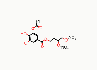 CC(C)C(=O)Oc1cc(C(=O)OCCC(CO[N+](=O)[O-])O[N+](=O)[O-])cc(O)c1O